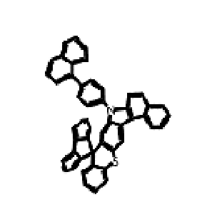 c1ccc2c(c1)Sc1cc3c4c5ccccc5ccc4n(-c4ccc(-c5cccc6ccccc56)cc4)c3cc1C21c2ccccc2-c2ccccc21